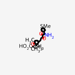 CSc1ccc2c(N)c(C(=O)CCc3cc(C)c(OC(C)(C)C(=O)O)c(C)c3)oc2c1